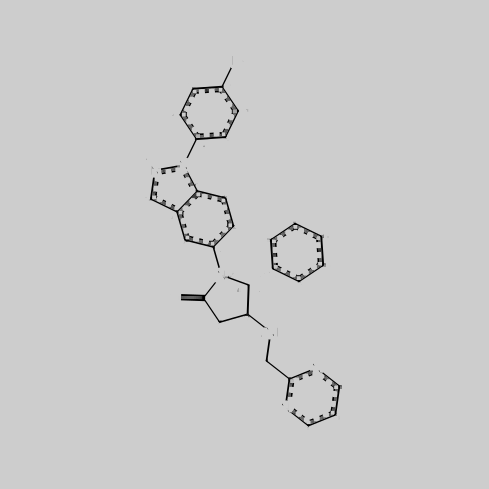 O=C1CC(NCc2ncccn2)[C@@H](c2ccccc2)N1c1ccc2c(cnn2-c2ccc(F)cc2)c1